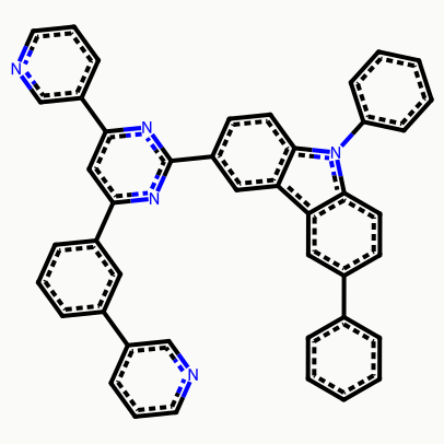 c1ccc(-c2ccc3c(c2)c2cc(-c4nc(-c5cccnc5)cc(-c5cccc(-c6cccnc6)c5)n4)ccc2n3-c2ccccc2)cc1